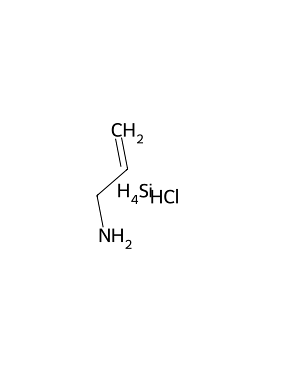 C=CCN.Cl.[SiH4]